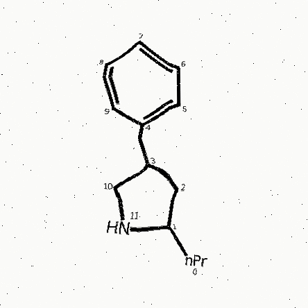 CCCC1CC(c2ccccc2)CN1